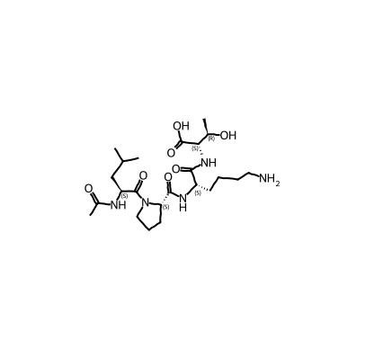 CC(=O)N[C@@H](CC(C)C)C(=O)N1CCC[C@H]1C(=O)N[C@@H](CCCCN)C(=O)N[C@H](C(=O)O)[C@@H](C)O